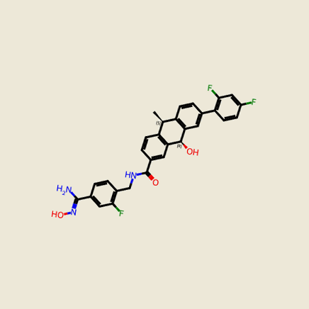 C[C@@H]1c2ccc(C(=O)NCc3ccc(C(N)=NO)cc3F)cc2[C@H](O)c2cc(-c3ccc(F)cc3F)ccc21